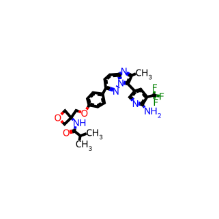 Cc1nc2ccc(-c3ccc(OCC4(NC(=O)C(C)C)COC4)cc3)nn2c1-c1cnc(N)c(C(F)(F)F)c1